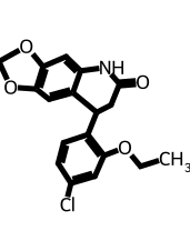 CCOc1cc(Cl)ccc1C1CC(=O)Nc2cc3c(cc21)OCO3